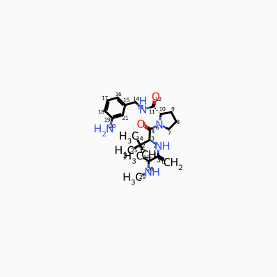 C=C(N[C@H](C(=O)N1CCC[C@H]1C(=O)NCc1cccc(N)c1)C(C)(C)C)[C@H](C)NC